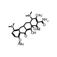 CCCCOc1ccc(N(C)C)c2c1C(=O)C1=C(O)C3(OC(C)=O)C(=O)C(C(N)=O)=C(OC(C)=O)C(N(C)C)C3CC1C2